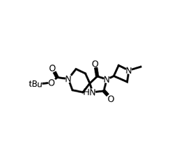 CN1CC(N2C(=O)NC3(CCN(C(=O)OC(C)(C)C)CC3)C2=O)C1